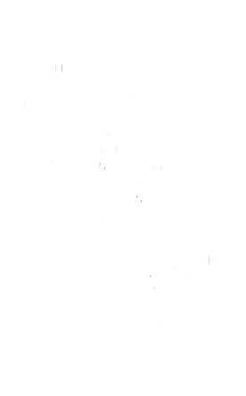 CCCCC(CC)CC1(CC(CC)CCCC)c2ccsc2-c2sc3c(c21)C=CN1C(=O)C2=C4c5sc6c(c5C=CN4C(=O)C2=C31)C(CC(CC)CCCC)(CC(CC)CCCC)c1ccsc1-6